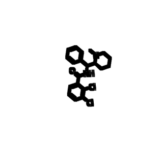 CN1CCCC[C@H]1[C@@H](NC(=O)c1cccc(Cl)c1Cl)c1ccccc1